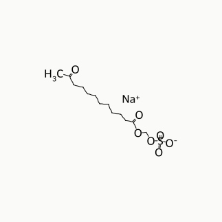 CC(=O)CCCCCCCCCC(=O)OCOS(=O)(=O)[O-].[Na+]